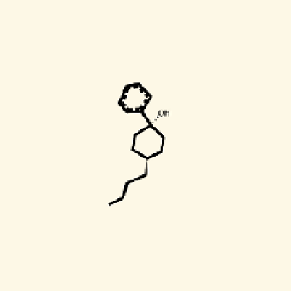 CCCC[C@H]1CC[C@@](O)(c2ccccc2)CC1